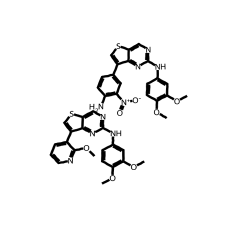 COc1ccc(Nc2ncc3scc(-c4ccc(N)c([N+](=O)[O-])c4)c3n2)cc1OC.COc1ccc(Nc2ncc3scc(-c4cccnc4OC)c3n2)cc1OC